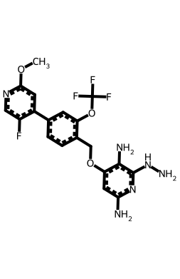 COc1cc(-c2ccc(COc3cc(N)nc(NN)c3N)c(OC(F)(F)F)c2)c(F)cn1